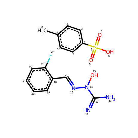 Cc1ccc(S(=O)(=O)O)cc1.N=C(N)N(O)/N=C/c1ccccc1F